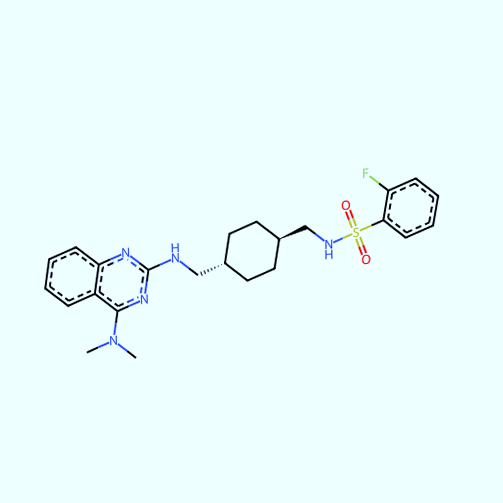 CN(C)c1nc(NC[C@H]2CC[C@H](CNS(=O)(=O)c3ccccc3F)CC2)nc2ccccc12